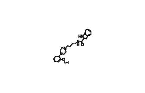 O=C(NCCCCN1CCN(c2ccccc2OCI)CC1)c1cc2ccccc2[nH]1